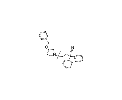 CC(C)(CCC(C#N)(c1ccccc1)c1ccccc1)N1CC[C@@H](OCc2ccccc2)C1